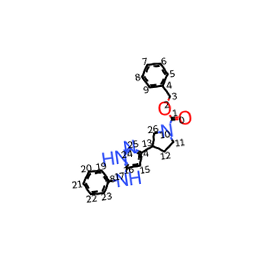 O=C(OCc1ccccc1)N1CCC(c2cc(Nc3ccccc3)[nH]n2)C1